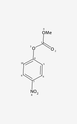 [CH2]OC(=O)Oc1ccc([N+](=O)[O-])cc1